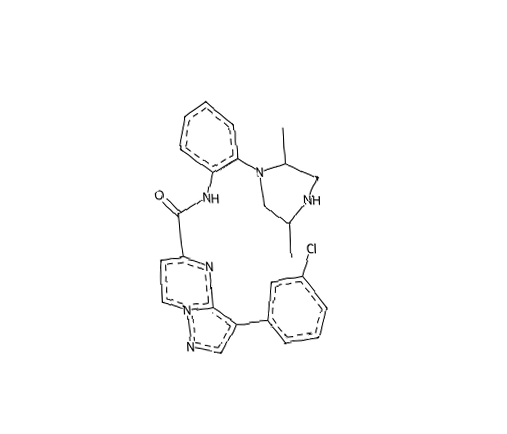 CC1CN(c2ccccc2NC(=O)c2ccn3ncc(-c4cccc(Cl)c4)c3n2)C(C)CN1